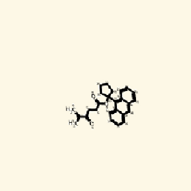 C=C(C)C(=O)CCC(=O)OC1(c2c3ccccc3cc3ccccc23)CCCC1